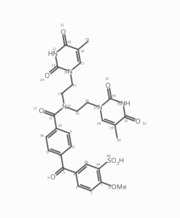 COc1ccc(C(=O)c2ccc(C(=O)N(CCn3cc(C)c(=O)[nH]c3=O)CCn3cc(C)c(=O)[nH]c3=O)cc2)cc1S(=O)(=O)O